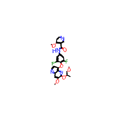 COCC(C)Oc1nc2c(Oc3c(F)cc(NC(=O)c4cnccc4OC)cc3F)ccnc2cc1OC